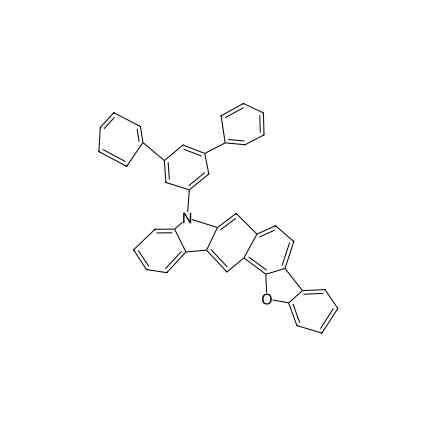 c1ccc(-c2cc(-c3ccccc3)cc(-n3c4ccccc4c4cc5c(ccc6c7ccccc7oc56)cc43)c2)cc1